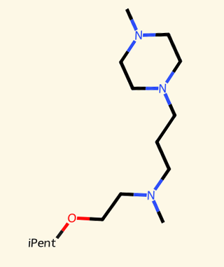 CCCC(C)OCCN(C)CCCN1CCN(C)CC1